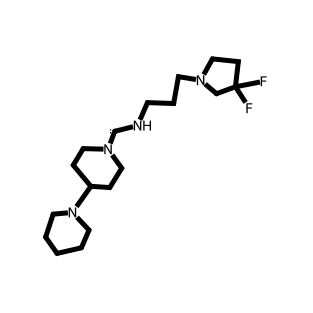 FC1(F)CCN(CCCN[C]N2CCC(N3CCCCC3)CC2)C1